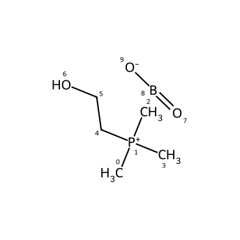 C[P+](C)(C)CCO.O=B[O-]